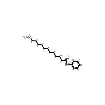 CCCCCCCCCCCCCCCCCCCCCC(=O)Nc1ccccc1